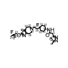 Cc1nnc(CC(=O)N[C@H]2CC[C@](F)(CCN3CCc4nc(OCC(C)(F)F)sc4CC3)CC2)s1